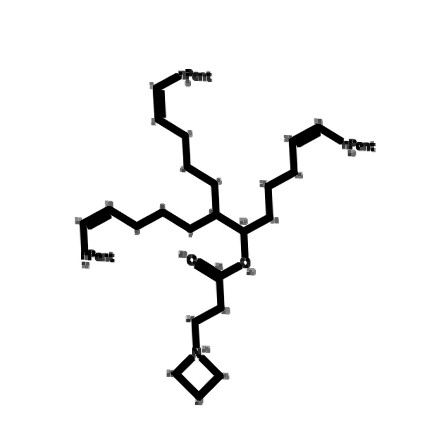 CCCCC/C=C\CCCC(CCC/C=C\CCCCC)C(CCC/C=C\CCCCC)OC(=O)CCN1CCC1